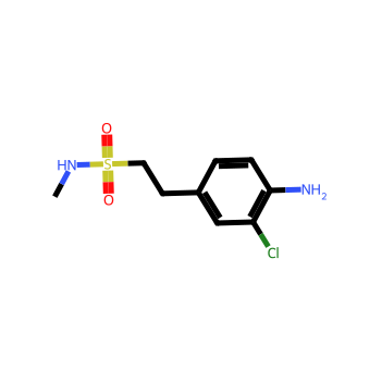 CNS(=O)(=O)CCc1ccc(N)c(Cl)c1